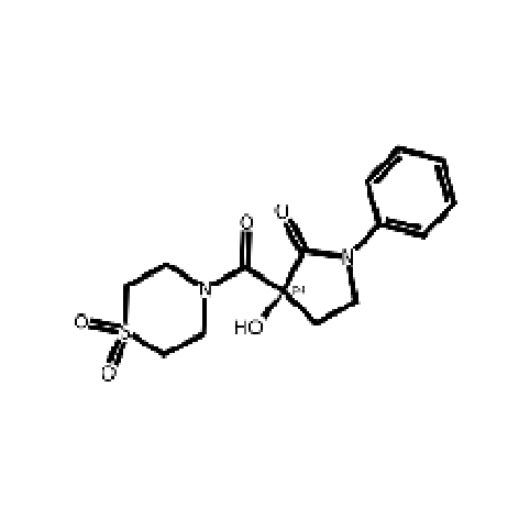 O=C(N1CCS(=O)(=O)CC1)[C@@]1(O)CCN(c2ccccc2)C1=O